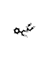 CCC(CNC(CC#N)=NC#N)c1ccccc1